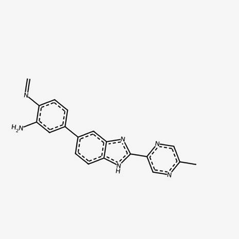 C=Nc1ccc(-c2ccc3[nH]c(-c4cnc(C)cn4)nc3c2)cc1N